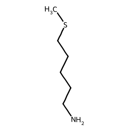 CSCCCCCN